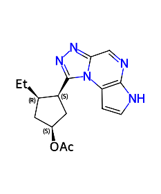 CC[C@@H]1C[C@H](OC(C)=O)C[C@@H]1c1nnc2cnc3[nH]ccc3n12